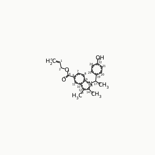 C=CCOC(=O)c1ccc2c(c1)c(C)c(C)n2C(C)c1ccc(O)cc1